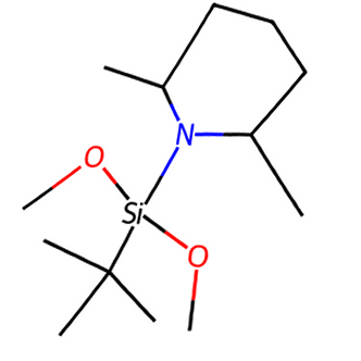 CO[Si](OC)(N1C(C)CCCC1C)C(C)(C)C